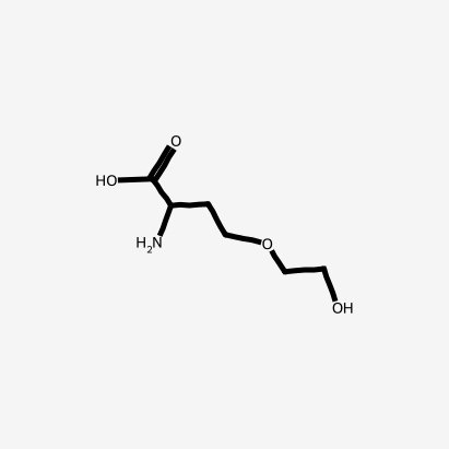 NC(CCOCCO)C(=O)O